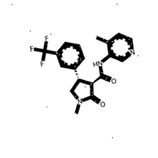 Cc1ccncc1NC(=O)[C@H]1C(=O)N(C)C[C@@H]1c1cccc(C(F)(F)F)c1